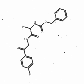 CC(C)C(NC(=O)OCc1ccccc1)C(=O)NCC(=O)c1ccc(Br)cc1